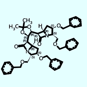 CC1(C)O[C@H]([C@@H]2C(=O)N3[C@@H]2C[C@H](OCc2ccccc2)[C@@H]3COCc2ccccc2)[C@@H]([C@@H]2C(=O)N3[C@@H]2C[C@H](OCc2ccccc2)[C@@H]3COCc2ccccc2)O1